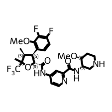 COc1c([C@H]2[C@H](C(=O)Nc3ccnc(C(=O)N[C@H]4CNCC[C@H]4OC)c3)O[C@@](C)(C(F)(F)F)[C@H]2C)ccc(F)c1F